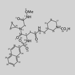 CONC(=O)CN(C(=O)C(CC(=O)NCC1CCCN(C(=O)O)C1)NS(=O)(=O)c1ccc2ccccc2c1)C1CC1